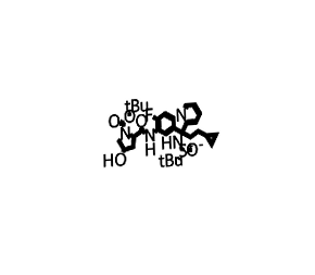 CC(C)(C)OC(=O)N1CC(O)CC1C(=O)Nc1cc(C(CCC2CC2)(N[S+]([O-])C(C)(C)C)c2ccccn2)ccc1F